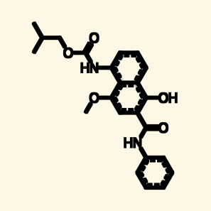 COc1cc(C(=O)Nc2ccccc2)c(O)c2cccc(NC(=O)OCC(C)C)c12